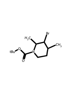 CC1CCN(C(=O)OC(C)(C)C)C(C)C1Br